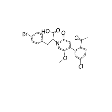 COc1cn(C(Cc2ccc(Br)cc2)C(=O)O)c(=O)cc1-c1cc(Cl)ccc1C(C)=O